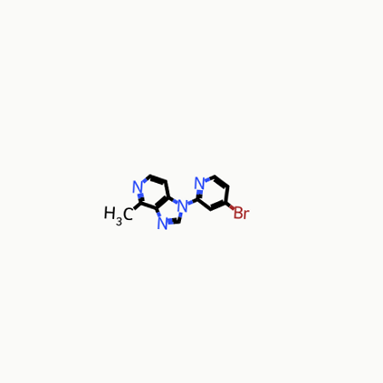 Cc1nccc2c1ncn2-c1cc(Br)ccn1